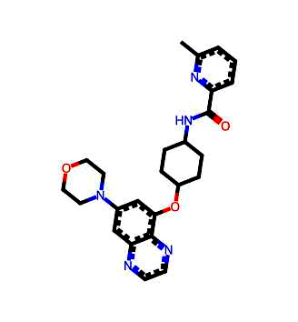 Cc1cccc(C(=O)NC2CCC(Oc3cc(N4CCOCC4)cc4nccnc34)CC2)n1